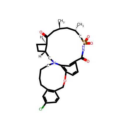 C[C@@H]1CC(=O)[C@@H]2CC[C@H]2CN2CCCCc3cc(Cl)ccc3COc3ccc(cc32)C(=O)NS(=O)(=O)C[C@@H](C)C1